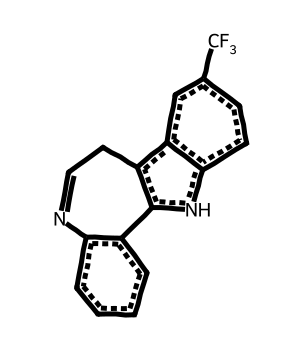 FC(F)(F)c1ccc2[nH]c3c(c2c1)CC=Nc1ccccc1-3